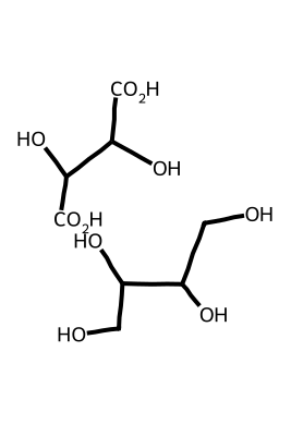 O=C(O)C(O)C(O)C(=O)O.OCC(O)C(O)CO